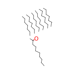 CCCCCCC.CCCCCCC.CCCCCCC.CCCCCCC.CCCCCCC.CCCCCCC.CCCCCCCCC(C)=O